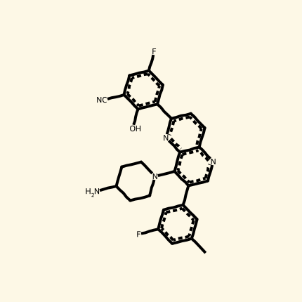 Cc1cc(F)cc(-c2cnc3ccc(-c4cc(F)cc(C#N)c4O)nc3c2N2CCC(N)CC2)c1